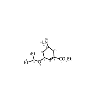 CCOC(=O)C1=C[C@@H](OC(CC)CC)CC(N)C1